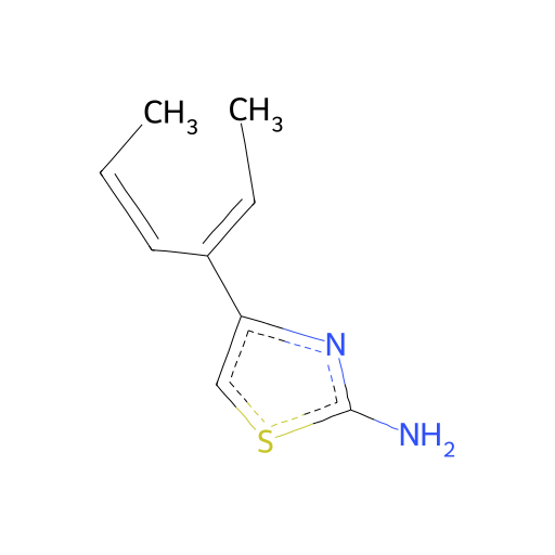 C/C=C\C(=C/C)c1csc(N)n1